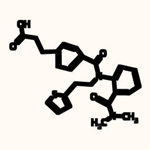 CN(C)C(=O)c1ccccc1N(CCc1cccs1)C(=O)c1ccc(CCC(=O)O)cc1